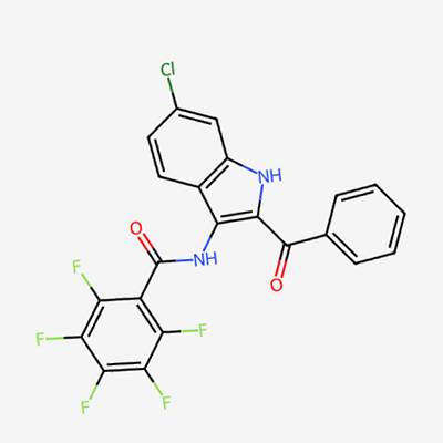 O=C(c1ccccc1)c1[nH]c2cc(Cl)ccc2c1NC(=O)c1c(F)c(F)c(F)c(F)c1F